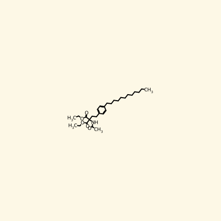 CCCCCCCCCCCCc1ccc(CCC(NC(C)=O)(C(=O)OCC)C(=O)OCC)cc1